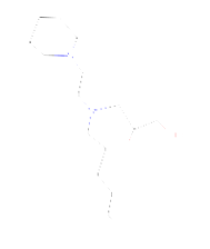 O=C(O)CCCCCN(CCN1CCCCC1)CC(O)CO